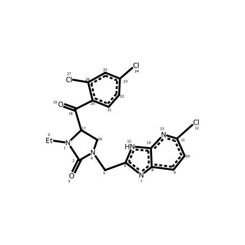 CCN1C(=O)N(Cc2nc3ccc(Cl)nc3[nH]2)CC1C(=O)c1ccc(Cl)cc1Cl